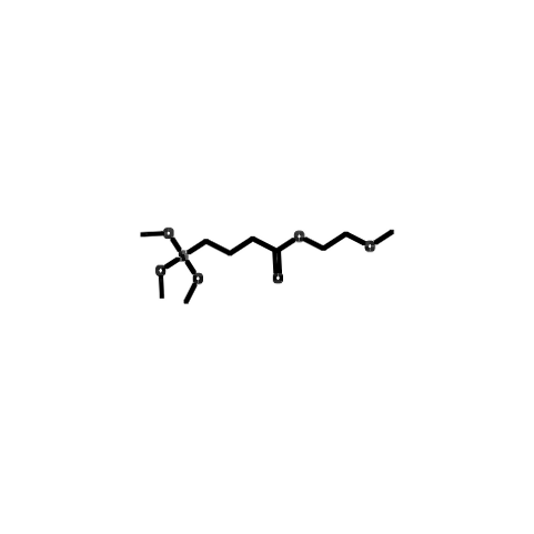 COCCOC(=O)CCC[Si](OC)(OC)OC